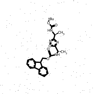 C[C@H](NC(=O)OC(C)(C)C)c1noc([C@H](C)NC(=O)OCC2c3ccccc3-c3ccccc32)n1